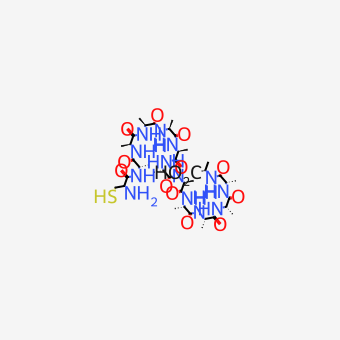 C[C@H](NC(=O)[C@H](C)NC(=O)[C@H](C)NC(=O)[C@H](C)NC(=O)[C@H](C)NC(=O)[C@H](C)NC(=O)[C@H](C)NC(=O)[C@H](C)NC(=O)[C@H](C)NC(=O)[C@H](C)NC(=O)[C@H](C)NC(=O)[C@H](C)NC(=O)[C@@H](N)CS)C(=O)O